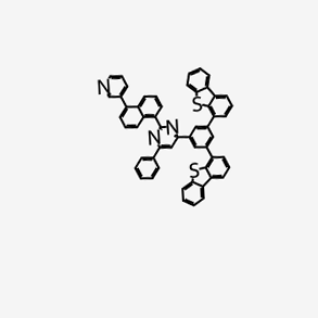 c1ccc(-c2cc(-c3cc(-c4cccc5c4sc4ccccc45)cc(-c4cccc5c4sc4ccccc45)c3)nc(-c3cccc4c(-c5cccnc5)cccc34)n2)cc1